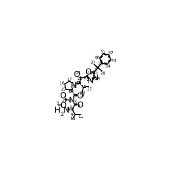 COC(=O)N(C(=O)[C@@H](N)C(C)C)C(=O)[C@@H]1CCCN1[C@H](C(=O)c1nnc(C(C)(C)c2ccccc2)o1)C(C)C